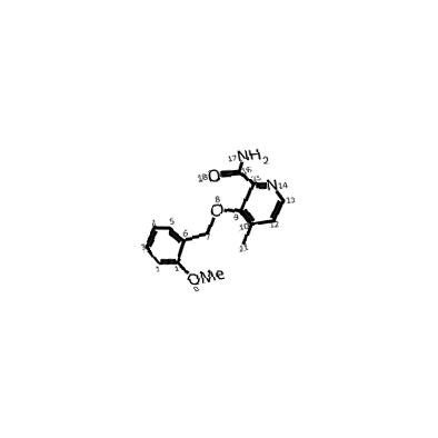 COc1ccccc1COc1c(C)ccnc1C(N)=O